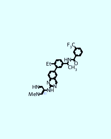 CCc1ccc(C(C)NC(=O)c2cccc(C(F)(F)F)c2)cc1-c1ccc2nc(N/C(C=N)=C/NC)ncc2c1